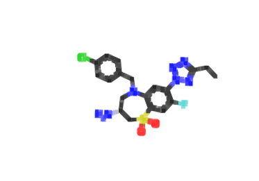 CCc1nnn(-c2cc3c(cc2F)S(=O)(=O)C[C@H](N)CN3Cc2ccc(Cl)cc2)n1